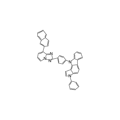 c1ccc(-n2ccc3c2ccc2c4ccccc4n(-c4ccc(-c5nc6c(-c7ccc8ccccc8c7)cccn6n5)cc4)c23)cc1